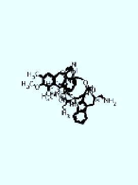 COc1c(C)cc2c(c1O)[C@H](N(C)C)[C@@H]1[C@@H]3SC[C@]4(N[C@@H](CN)Cc5c4[nH]c4ccccc54)C(=O)OC[C@@H](c4c5c(c(C)c(OC(C)=O)c43)OCO5)N1C(C#N)C2